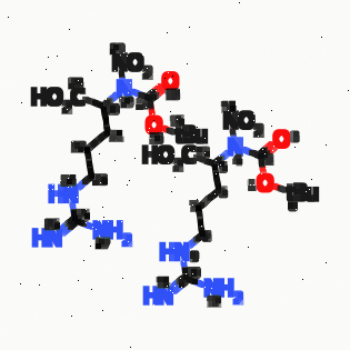 CC(C)(C)OC(=O)N(C(CCCNC(=N)N)C(=O)O)[N+](=O)[O-].CC(C)(C)OC(=O)N(C(CCCNC(=N)N)C(=O)O)[N+](=O)[O-]